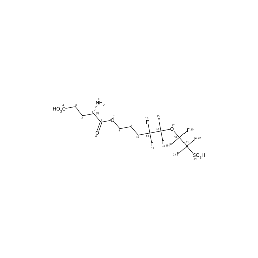 N[C@@H](CCC(=O)O)C(=O)OCCCC(F)(F)C(F)(F)OC(F)(F)C(F)(F)S(=O)(=O)O